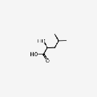 CC(C)C[C@H](O)C(=O)O